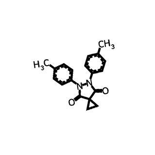 Cc1ccc(N2C(=O)C3(CC3)C(=O)N2c2ccc(C)cc2)cc1